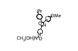 COc1ccc(-c2nc(C3CCN(C(=O)N(C)O)CC3)oc2-c2ccc(C(C)C)cc2)cc1